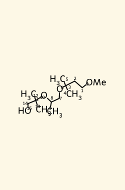 COCCC(C)(C)OCC(C)OC(C)(C)CO